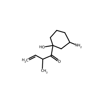 C=CC(C)C(=O)C1(O)CCCC(N)C1